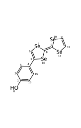 Oc1ccc(C2=C[Se]C(=C3[Se]C=C[Se]3)[Se]2)cc1